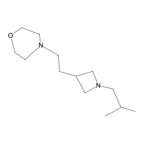 C[C](C)CN1CC(CCN2CCOCC2)C1